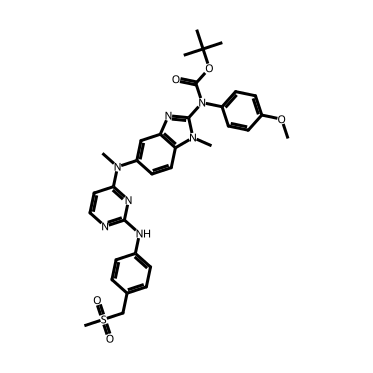 COc1ccc(N(C(=O)OC(C)(C)C)c2nc3cc(N(C)c4ccnc(Nc5ccc(CS(C)(=O)=O)cc5)n4)ccc3n2C)cc1